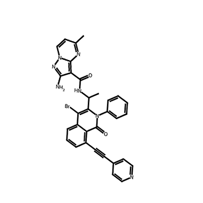 Cc1ccn2nc(N)c(C(=O)NC(C)c3c(Br)c4cccc(C#Cc5ccncc5)c4c(=O)n3-c3ccccc3)c2n1